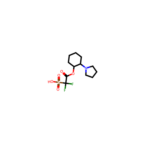 O=C(OC1CCCCC1N1CCCC1)C(F)(F)S(=O)(=O)O